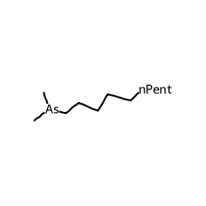 CCCCCCCCCC[As](C)C